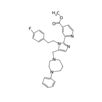 COC(=O)c1ccnc(-c2ncc(CN3CCCN(c4ccccc4)CC3)n2CCc2ccc(F)cc2)c1